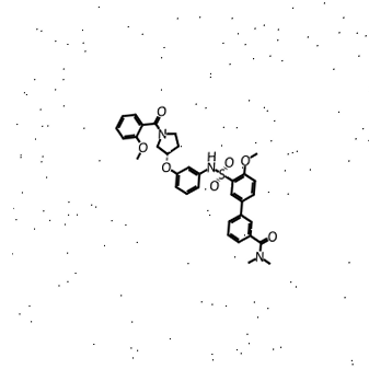 COc1ccccc1C(=O)N1CC[C@H](Oc2cccc(NS(=O)(=O)c3cc(-c4cccc(C(=O)N(C)C)c4)ccc3OC)c2)C1